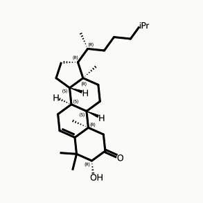 CC(C)CCC[C@@H](C)[C@H]1CC[C@H]2[C@@H]3CC=C4C(C)(C)[C@@H](O)C(=O)C[C@]4(C)[C@H]3CC[C@]12C